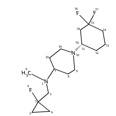 CN(CC1(F)CC1)C1CCN([C@H]2CCCC(F)(F)C2)CC1